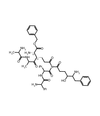 CC(N)C(=O)NC(C)C(=O)[C@@H](CCC(=O)N(C(=O)CCC(O)C(N)Cc1ccccc1)C(=O)C(NC(=O)C(N)C(C)C)C(C)C)[C@H](N)C(=O)OCc1ccccc1